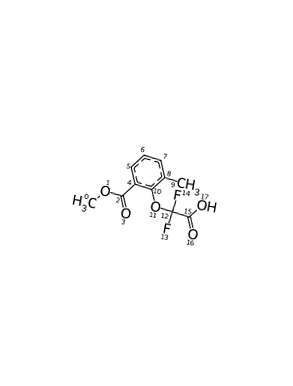 COC(=O)c1cccc(C)c1OC(F)(F)C(=O)O